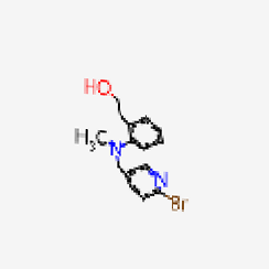 CN(Cc1ccc(Br)nc1)c1ccccc1CCO